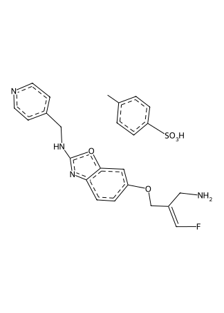 Cc1ccc(S(=O)(=O)O)cc1.NC/C(=C\F)COc1ccc2nc(NCc3ccncc3)oc2c1